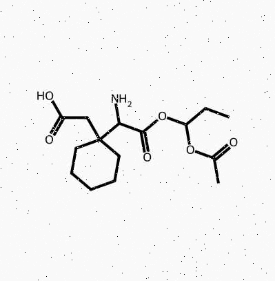 CCC(OC(C)=O)OC(=O)C(N)C1(CC(=O)O)CCCCC1